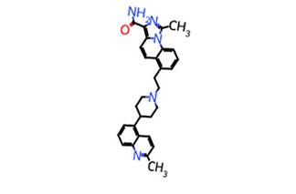 Cc1ccc2c(C3CCN(CCc4cccc5c4ccc4c(C(N)=O)nc(C)n45)CC3)cccc2n1